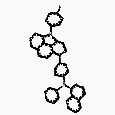 Fc1ccc(-n2c3cccc4ccc5c(-c6ccc(N(c7ccccc7)c7cccc8ccccc78)cc6)ccc2c5c43)cc1